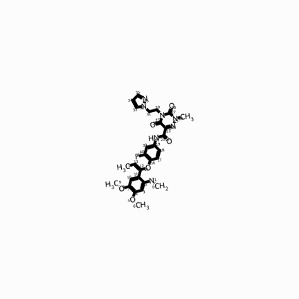 C=Nc1cc(OC)c(OC)cc1/C(=C\C)Oc1ccc(NC(=O)c2nn(C)c(=O)n(CCn3cccn3)c2=O)cc1F